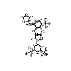 C[C@H]1[C@@H](c2cc(C(F)(F)F)cc(C(F)(F)F)c2)OC(=O)N1Cc1cc(C(F)(F)F)cnc1NC1CCOC1